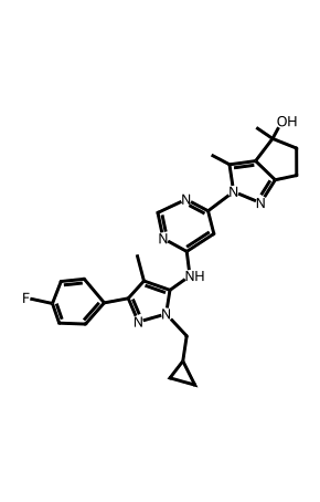 Cc1c(-c2ccc(F)cc2)nn(CC2CC2)c1Nc1cc(-n2nc3c(c2C)C(C)(O)CC3)ncn1